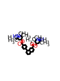 CC1(C)CC(OC(=O)c2ccc(-c3cccc4ccc(C(=O)OC5CC(C)(C)NC(C)(C)C5)cc34)cc2)CC(C)(C)N1